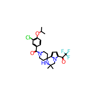 CC(C)Oc1ccc(C(=O)N2CCC3(CC2)NC(C)(C)Cn2c(C(=O)C(F)(F)F)ccc23)cc1Cl